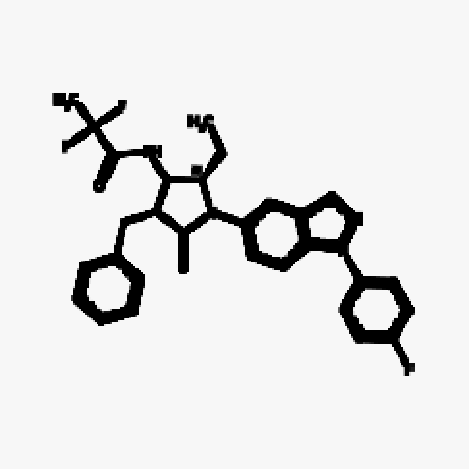 CC[C@@H]1C(NC(=O)C(C)(F)F)C(Cc2ccccc2)C(=O)N1c1ccc2c(cnn2-c2ccc(F)cc2)c1